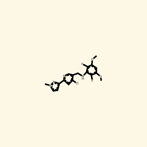 COc1cc(OC)c(F)c(NCc2cnc(-c3ccn(C)n3)cc2Cl)c1F